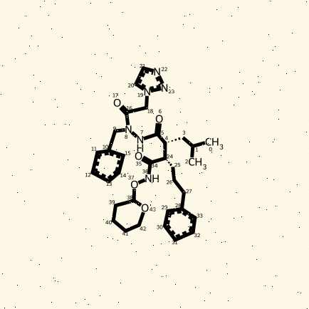 CC(C)C[C@@H](C(=O)NN(Cc1ccccc1)C(=O)Cn1ccnn1)[C@H](CCCc1ccccc1)C(=O)NOC1CCCCO1